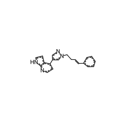 C(=Cc1ccccc1)CCn1cc(-c2ccnc3[nH]ccc23)cn1